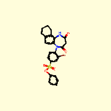 O=C1CC(=O)N(c2ccc(S(=O)(=O)Oc3ccccc3)cc2Br)c2ccc3c(c2N1)CCCC3